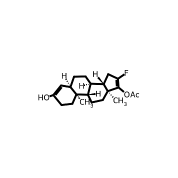 CC(=O)OC1=C(F)C[C@H]2[C@@H]3CC[C@@H]4C=C(O)CC[C@]4(C)[C@H]3CC[C@]12C